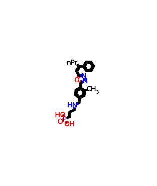 CCCC(=Cc1nnc(-c2ccc(CNCCCP(=O)(O)O)cc2C)o1)c1ccccc1